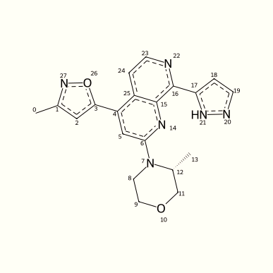 Cc1cc(-c2cc(N3CCOC[C@H]3C)nc3c(-c4ccn[nH]4)nccc23)on1